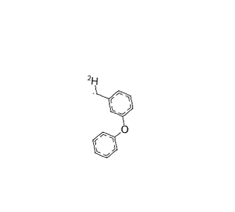 [2H][CH]c1cccc(Oc2ccccc2)c1